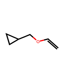 C=COCC1CC1